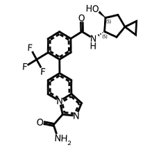 NC(=O)c1ncc2cc(-c3cc(C(=O)N[C@H]4CC5(CC5)C[C@@H]4O)ccc3C(F)(F)F)ccn12